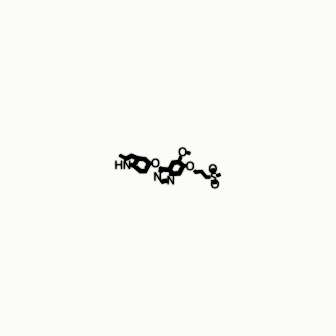 COc1cc2c(Oc3ccc4[nH]c(C)cc4c3)ncnc2cc1OCCCS(C)(=O)=O